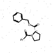 CC(C)C(=O)N1CCC[C@H]1C(=O)OCc1ccccc1